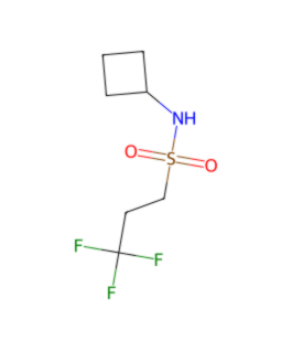 O=S(=O)(CCC(F)(F)F)NC1CCC1